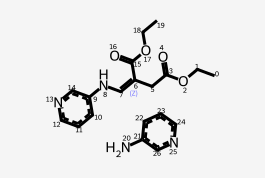 CCOC(=O)C/C(=C/Nc1cccnc1)C(=O)OCC.Nc1cccnc1